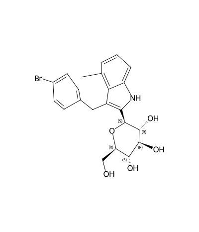 Cc1cccc2[nH]c([C@@H]3O[C@H](CO)[C@@H](O)[C@H](O)[C@H]3O)c(Cc3ccc(Br)cc3)c12